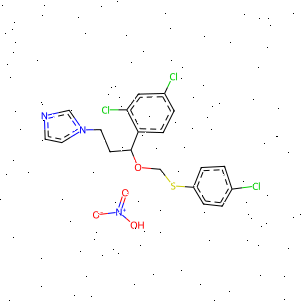 Clc1ccc(SCOC(CCn2ccnc2)c2ccc(Cl)cc2Cl)cc1.O=[N+]([O-])O